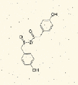 O=[S](Cc1ccc(O)cc1)[Zr][S](=O)Cc1ccc(O)cc1